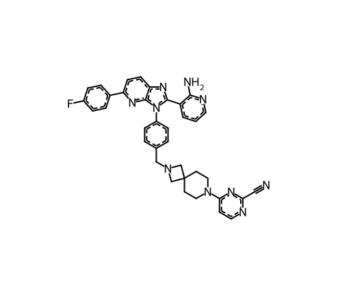 N#Cc1nccc(N2CCC3(CC2)CN(Cc2ccc(-n4c(-c5cccnc5N)nc5ccc(-c6ccc(F)cc6)nc54)cc2)C3)n1